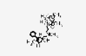 COCC(C)(COC)C(=O)N(C)CCCN(C)CC[C@]1(O)C[C@@H]2CC[C@H]1C(c1ccccc1)=C2C